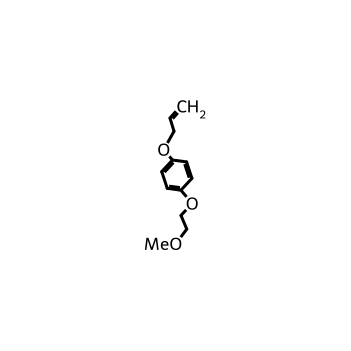 C=CCOc1ccc(OCCOC)cc1